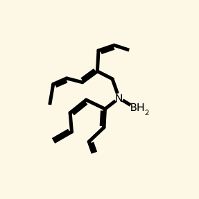 BN(CC(/C=C\C)=C/C=C\C)C(/C=C\C=C)=C/C=C